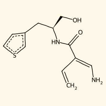 C=C/C(=C\N)C(=O)N[C@H](CO)Cc1ccsc1